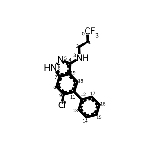 FC(F)(F)CCNc1n[nH]c2cc(Cl)c(-c3ccccc3)cc12